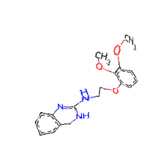 COc1cccc(OCCNC2=Nc3ccccc3CN2)c1OC